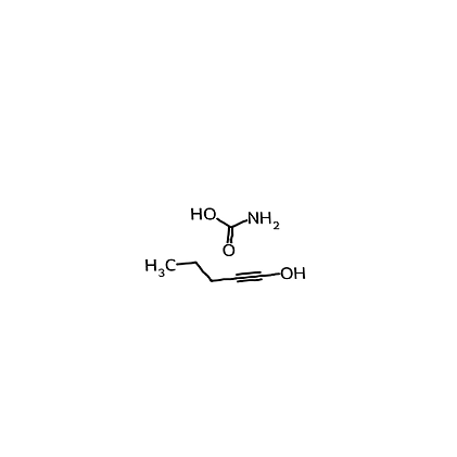 CCCC#CO.NC(=O)O